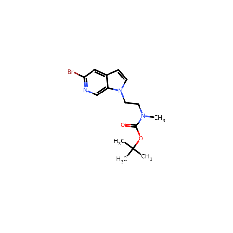 CN(CCn1ccc2cc(Br)ncc21)C(=O)OC(C)(C)C